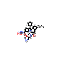 COc1ccc2c(c1)C1CC1(C(=O)N1CCOC(CN(C)C)C1)Cn1c-2c(C2CCCCC2)c2ccc(C(=O)NO)cc21